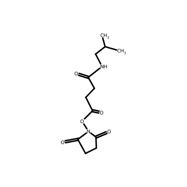 CC(C)CNC(=O)CCC(=O)ON1C(=O)CCC1=O